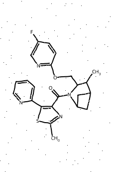 Cc1nc(C(=O)N2C3CC(C3)C(C)C2COc2ccc(F)cn2)c(-c2ccccn2)s1